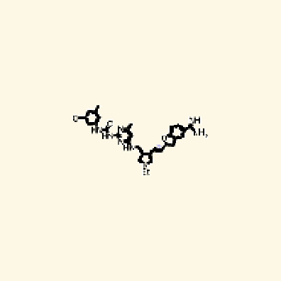 CCN1CC(/C=C/c2cc3cc(C(=N)N)ccc3o2)C(CNc2cc(C)nc(NC(=O)Nc3cc(C)cc(Cl)c3)n2)C1